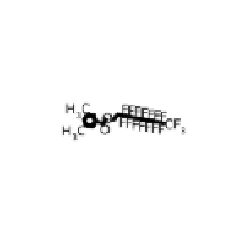 Cc1cc(C)cc(C(=O)OCCC(F)(F)C(F)(F)C(F)(F)C(F)(F)C(F)(F)C(F)(F)C(F)(F)C(F)(F)F)c1